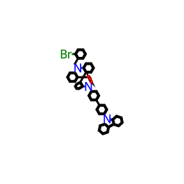 Brc1ccccc1CN1c2ccccc2C2(c3ccccc31)c1ccccc1N(c1ccc(-c3ccc(-n4c5ccccc5c5ccccc54)cc3)cc1)c1ccccc12